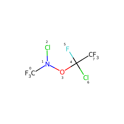 FC(F)(F)N(Cl)OC(F)(Cl)C(F)(F)F